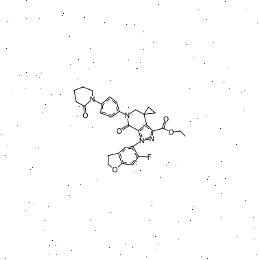 CCOC(=O)c1nn(-c2cc3c(cc2F)OCC3)c2c1C1(CC1)CN(c1ccc(N3CCCCC3=O)cc1)C2=O